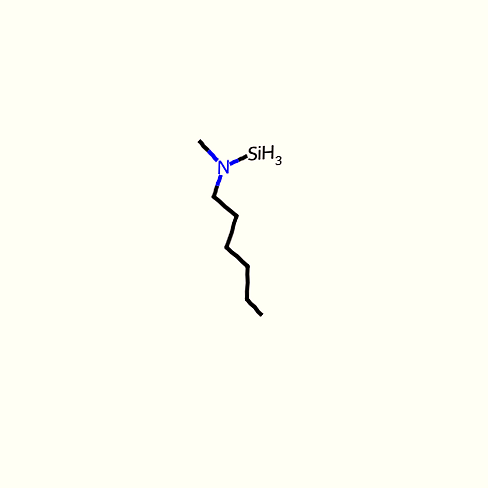 CCCCCCN(C)[SiH3]